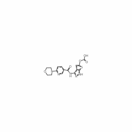 O=C(O)Oc1cc2c(NC(=O)c3ccc(N4CCOCC4)nc3)n[nH]c2s1